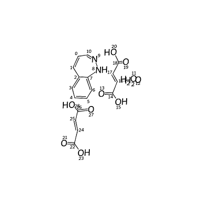 C1=Cc2ccccc2NN=C1.O.O.O=C(O)C=CC(=O)O.O=C(O)C=CC(=O)O